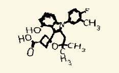 Cc1cc(-n2c3c(c4c(O)cccc42)[C@]2(C[C@H](C(=O)O)C2)OC(C)(C)C3)ccc1F